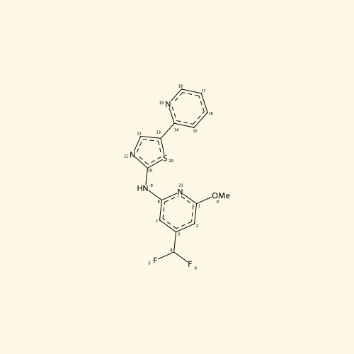 COc1cc(C(F)F)cc(Nc2ncc(-c3ccccn3)s2)n1